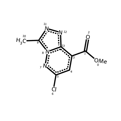 COC(=O)c1cc(Cl)nn2c(C)nnc12